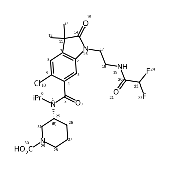 CC(C)N(C(=O)c1cc2c(cc1Cl)C(C)(C)C(=O)N2CCNC(=O)C(F)F)[C@@H]1CCCN(C(=O)O)C1